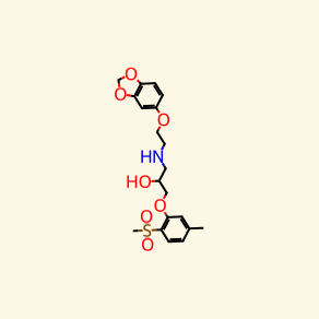 Cc1ccc(S(C)(=O)=O)c(OCC(O)CNCCOc2ccc3c(c2)OCO3)c1